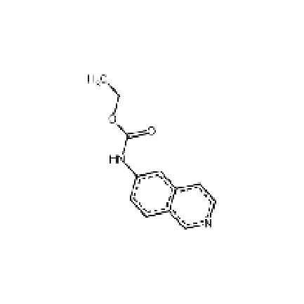 CCOC(=O)Nc1ccc2cnccc2c1